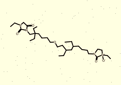 CCC(CCCCN1CC[N+]([O-])(CC)C1=O)CC(CC)CCOCCCCC(CC)(CC)CN1C(=O)CN(CC)C1=O